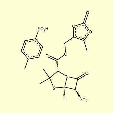 Cc1ccc(S(=O)(=O)O)cc1.Cc1oc(=O)oc1COC(=O)[C@@H]1N2C(=O)[C@@H](N)[C@H]2SC1(C)C